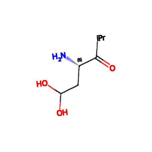 CC(C)C(=O)[C@@H](N)CC(O)O